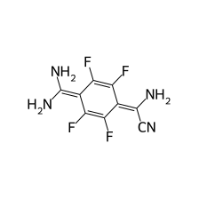 N#CC(N)=c1c(F)c(F)c(=C(N)N)c(F)c1F